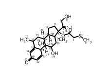 CSCC(=O)O[C@]1(C(=O)CO)CC[C@H]2[C@@H]3CC(C)C4=CC(=O)C=C[C@]4(C)[C@H]3C(O)C[C@@]21C